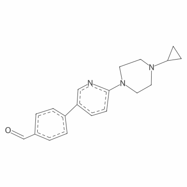 O=Cc1ccc(-c2ccc(N3CCN(C4CC4)CC3)nc2)cc1